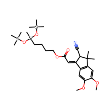 COc1cc2c(cc1OC)C(C)(C)C(C#N)C2=CC(=O)OCCCC[Si](C)(O[Si](C)(C)C)O[Si](C)(C)C